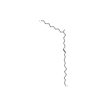 [CH2]CCCCCCCCCCCC=CCCCCCC(C)CCCCCCCC[CH2]